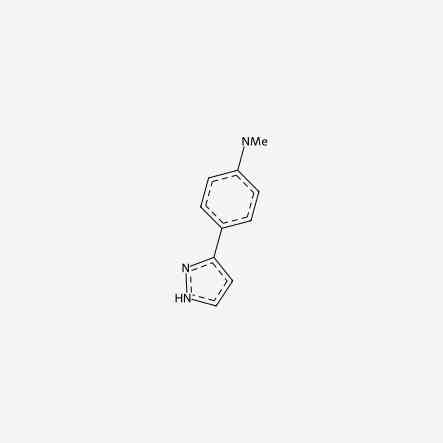 CNc1ccc(-c2cc[nH]n2)cc1